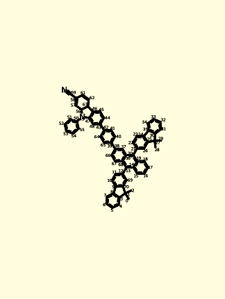 CC1(C)c2ccccc2-c2ccc(-c3c4ccccc4c(-c4ccc5c(c4)C(C)(C)c4ccccc4-5)c4cc(-c5ccc(-c6ccc7c(c6)N(c6ccccc6)C6C=C(C#N)C=CC76)cc5)ccc34)cc21